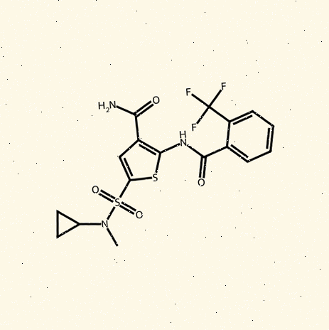 CN(C1CC1)S(=O)(=O)c1cc(C(N)=O)c(NC(=O)c2ccccc2C(F)(F)F)s1